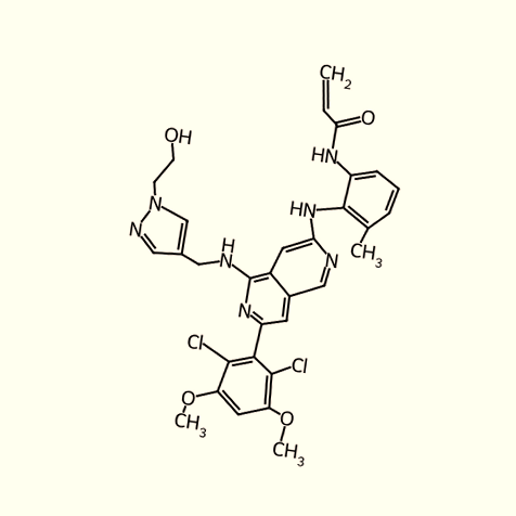 C=CC(=O)Nc1cccc(C)c1Nc1cc2c(NCc3cnn(CCO)c3)nc(-c3c(Cl)c(OC)cc(OC)c3Cl)cc2cn1